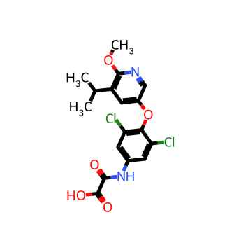 COc1ncc(Oc2c(Cl)cc(NC(=O)C(=O)O)cc2Cl)cc1C(C)C